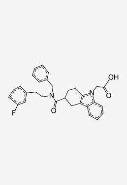 O=C(O)Cn1c2c(c3ccccc31)CC(C(=O)N(CCc1cccc(F)c1)Cc1ccccc1)CC2